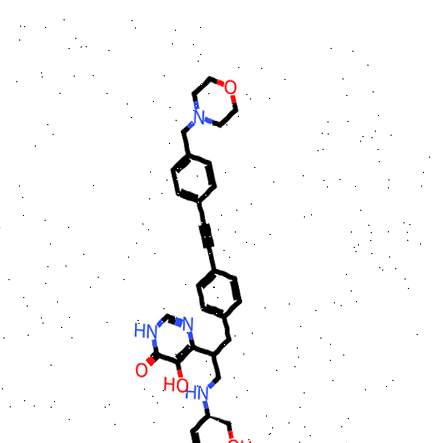 C=C[C@H](CO)NCC(Cc1ccc(C#Cc2ccc(CN3CCOCC3)cc2)cc1)c1nc[nH]c(=O)c1O